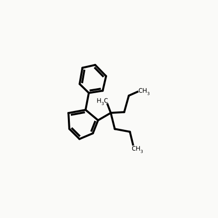 CCCC(C)(CCC)c1ccccc1-c1ccccc1